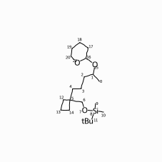 CC(CCCC1(CO[Si](C)(C)C(C)(C)C)CCC1)OC1CCCCO1